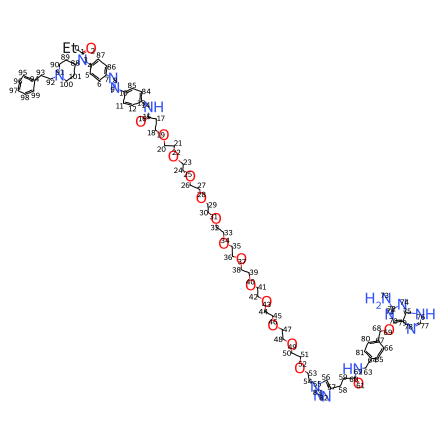 CCC(=O)N(c1ccc(N=Nc2ccc(NC(=O)CCOCCOCCOCCOCCOCCOCCOCCOCCOCCOCCOCCOCCn3cc(CCC(=O)NCc4ccc(COc5nc(N)nc6[nH]cnc56)cc4)nn3)cc2)cc1)C1CCN(CCc2ccccc2)CC1